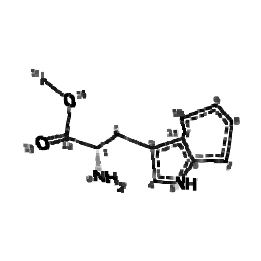 N[C@@H](Cc1c[nH]c2ccccc12)C(=O)OI